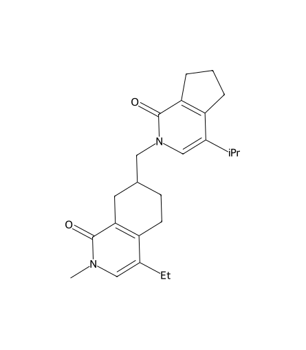 CCc1cn(C)c(=O)c2c1CCC(Cn1cc(C(C)C)c3c(c1=O)CCC3)C2